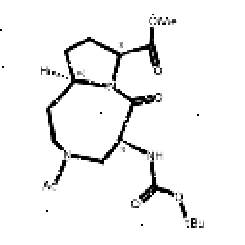 COC(=O)[C@@H]1CC[C@@H]2CCN(C(C)=O)C[C@H](NC(=O)OC(C)(C)C)C(=O)N21